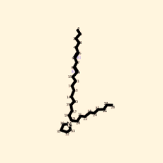 CCCCC/C=C/C/C=C/CCCCCCCCCC(CCCCCCCCC)N1CCCC1